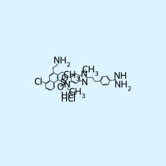 CCc1c(CCN)cc2c(Cl)cccc2c1S(=O)(=O)N(CC)c1ccc2c(c1)nc(CCc1ccc(C(=N)N)cc1)n2C.Cl.Cl